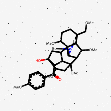 CCN1CC2(COC)CCC(OC)C34C5CC6(O)C(OC)CC(OC(C)=O)(C5C6C(=O)c5ccc(OC)cc5)C(C(OC)C23)C14